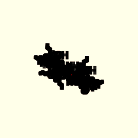 CCCCOC1C(OCCCC)[C@H](O[C@H]2OC(CO)[C@@H](OCCCC)C(OCCCC)C2N=[N+]=[N-])C(C(=O)O)O[C@H]1O[C@@H]1C(CO)O[C@@H](O[C@H]2C(C(=O)O)O[C@@H](O[C@@H]3C(CO)O[C@H](OC)C(N=[N+]=[N-])C3OCCCC)C(O)C2OCCCC)C(N)C1O